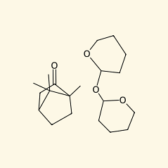 C1CCC(OC2CCCCO2)OC1.CC12CCC(CC1=O)C2(C)C